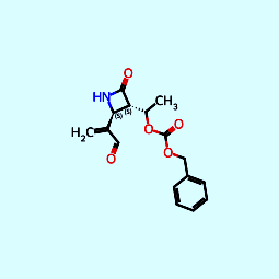 C=C(C=O)[C@H]1NC(=O)[C@@H]1C(C)OC(=O)OCc1ccccc1